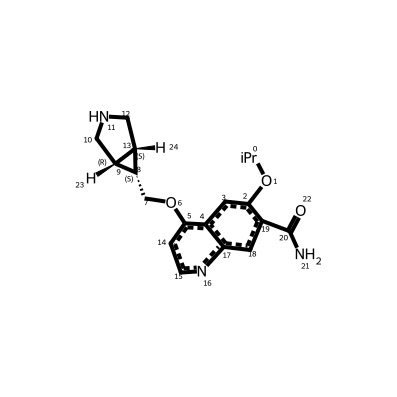 CC(C)Oc1cc2c(OC[C@@H]3[C@@H]4CNC[C@@H]43)ccnc2cc1C(N)=O